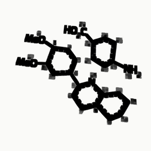 COc1ccc(-c2ccc3ccccc3n2)cc1OC.Nc1ccc(C(=O)O)cc1